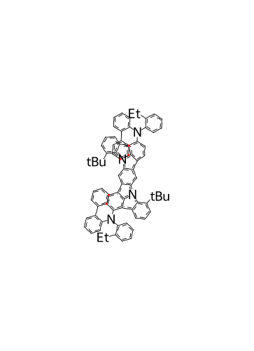 CCc1ccccc1N(c1ccccc1-c1ccccc1)c1ccc2c3cc4c(cc3n3c5c(C(C)(C)C)cccc5c1c23)c1ccc(N(c2ccccc2CC)c2ccccc2-c2ccccc2)c2c3cccc(C(C)(C)C)c3n4c12